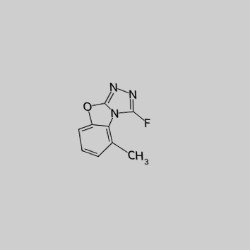 Cc1cccc2oc3nnc(F)n3c12